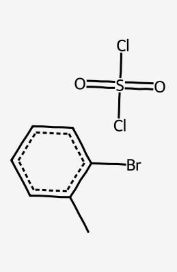 Cc1ccccc1Br.O=S(=O)(Cl)Cl